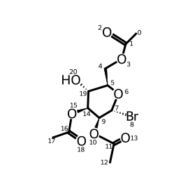 CC(=O)OC[C@H]1O[C@H](Br)[C@@H](OC(C)=O)[C@@H](OC(C)=O)[C@@H]1O